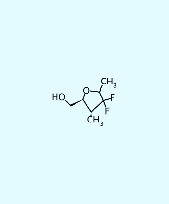 CC1O[C@H](CO)[C@@H](C)C1(F)F